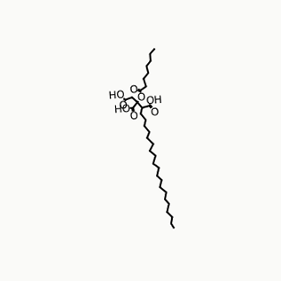 CCCCCCCCCCCCCCCCCCCCC(C(=O)O)C(CC(=O)O)(OC(=O)CCCCCCC)C(=O)O